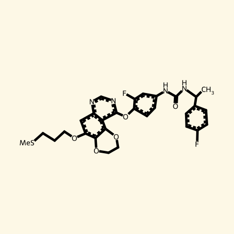 CSCCCOc1cc2ncnc(Oc3ccc(NC(=O)NC(C)c4ccc(F)cc4)cc3F)c2c2c1OCCO2